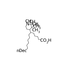 CCCCCCCCCCCCCCCCC(CCCCC(=O)O)C1CCN(C)C(C)(C)C1(C)C